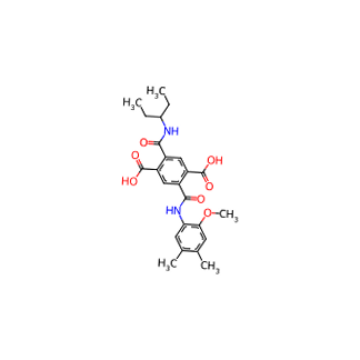 CCC(CC)NC(=O)c1cc(C(=O)O)c(C(=O)Nc2cc(C)c(C)cc2OC)cc1C(=O)O